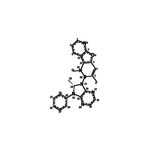 CC1=Cc2oc3ncccc3c2N(C)B1N1c2nccnc2N(c2ccccc2)[C@@H]1C